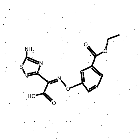 CCOC(=O)c1cccc(ON=C(C(=O)O)c2nsc(N)n2)c1